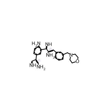 N=C/C(=C\N)c1ccc(N)c(C(=N)/C(N)=C/c2cccc(CN3CCOCC3)c2)c1